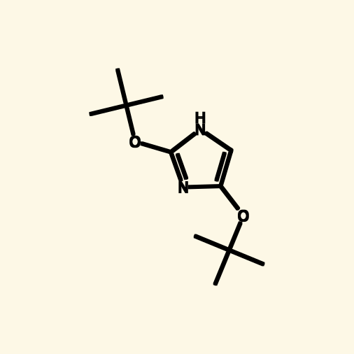 CC(C)(C)Oc1c[nH]c(OC(C)(C)C)n1